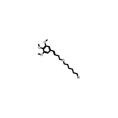 COc1cc(/C=C/CCOCCCCCCBr)cc(OC)c1OC